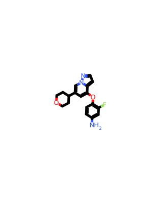 Nc1ccc(Oc2cc(C3CCOCC3)cn3nccc23)c(F)c1